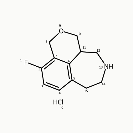 Cl.Fc1ccc2c3c1COCC3CNCC2